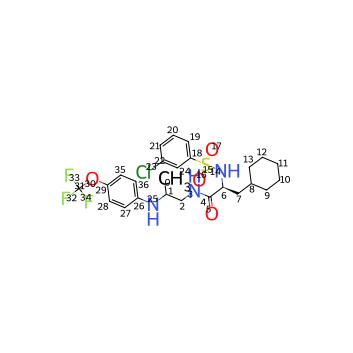 CC(CNC(=O)[C@H](CC1CCCCC1)NS(=O)(=O)c1cccc(Cl)c1)Nc1ccc(OC(F)(F)F)cc1